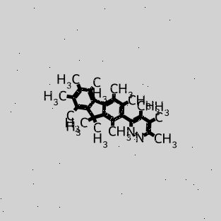 Cc1nnc(-c2c(C)c(C)c3c(c2C)C(C)(C)c2c(C)c(C)c(C)c(C)c2-3)c(C)c1C